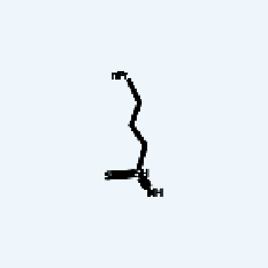 CCCCCC[SH](=N)=S